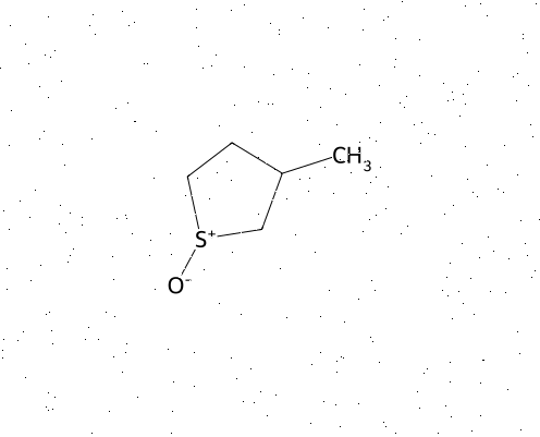 CC1CC[S+]([O-])C1